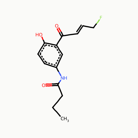 CCCC(=O)Nc1ccc(O)c(C(=O)/C=C/CF)c1